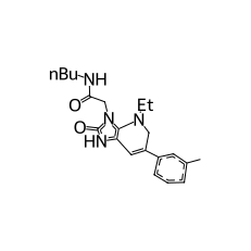 CCCCNC(=O)Cn1c2c([nH]c1=O)C=C(c1cccc(C)c1)CN2CC